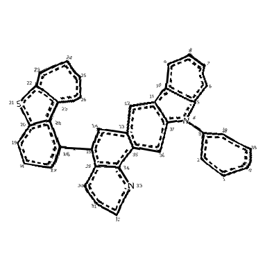 c1ccc(-n2c3ccccc3c3cc4cc(-c5cccc6sc7ccccc7c56)c5cccnc5c4cc32)cc1